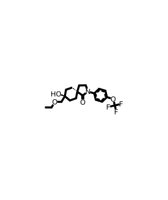 CCOC[C@]1(O)CC[C@@]2(CCN(c3ccc(OC(F)(F)F)cc3)C2=O)CC1